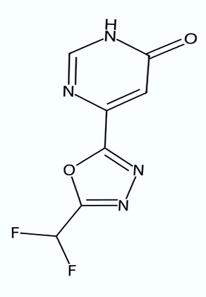 O=c1cc(-c2nnc(C(F)F)o2)nc[nH]1